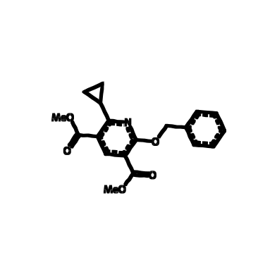 COC(=O)c1cc(C(=O)OC)c(C2CC2)nc1OCc1ccccc1